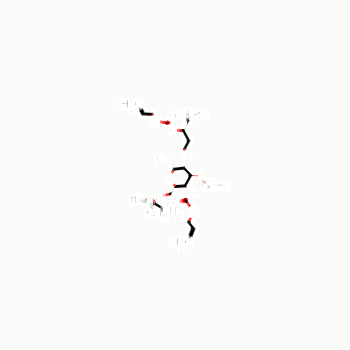 C=CCOC(=O)O[C@@H](CCCCCCCCCCC)CCO[C@@H]1[C@@H](OCCCCCCCCCC)[C@H](OC(=O)OCC=C)[C@@H](CO[Si](C)(C)C(C)(C)C)O[C@@H]1O